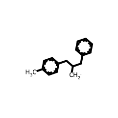 [CH2]C(Cc1ccccc1)Cc1ccc(C)cc1